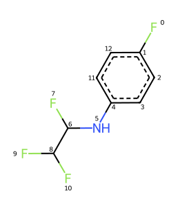 Fc1ccc(NC(F)C(F)F)cc1